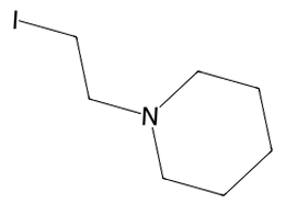 ICCN1CCCCC1